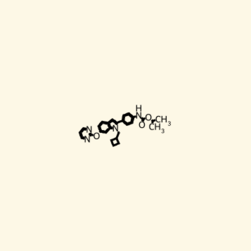 CC(C)OC(=O)Nc1ccc(-c2cc3ccc(Oc4ncccn4)cc3n2CC2CCC2)cc1